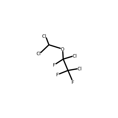 FC(F)(Cl)C(F)(Cl)OC(Cl)Cl